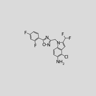 Nc1ccc2c(cc(C(F)F)n2Cc2noc(-c3ccc(F)cc3F)n2)c1Cl